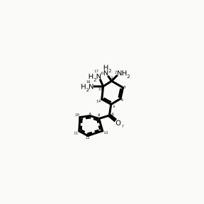 NC1(N)C=CC(C(=O)c2ccccc2)=CC1(N)N